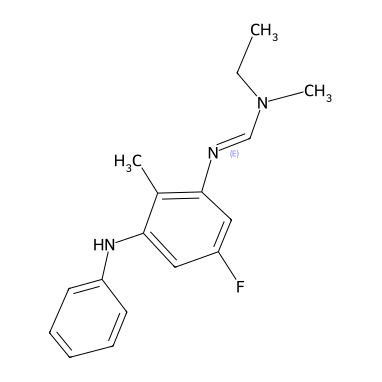 CCN(C)/C=N/c1cc(F)cc(Nc2ccccc2)c1C